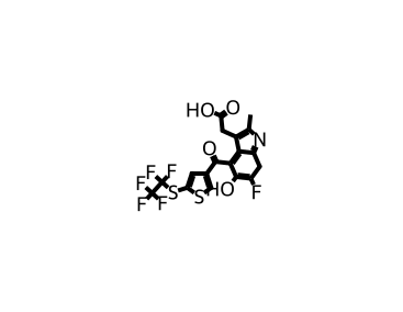 CC1=C(CC(=O)O)C2=C(C(=O)c3csc(SC(F)(F)C(F)(F)F)c3)C(O)=C(F)CC2=N1